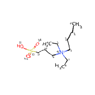 CCCC[N+](CC)(CC)CCCS(=O)(=O)O